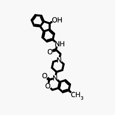 Cc1ccc2c(c1)COC(=O)N2C1CCN(CC(=O)Nc2ccc3c(c2)C(O)c2ccccc2-3)CC1